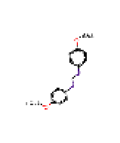 CCCCCCCCOc1ccc([I+]C[I+]c2ccc(OCCCCCCCC)cc2)cc1